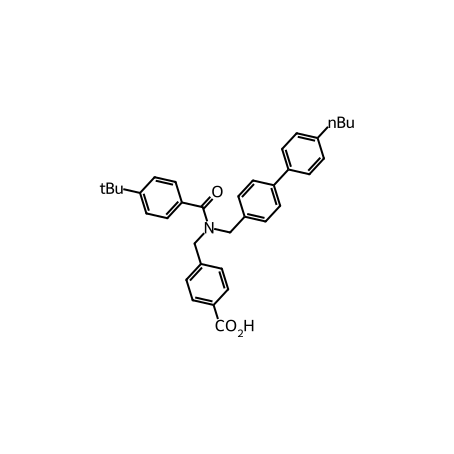 CCCCc1ccc(-c2ccc(CN(Cc3ccc(C(=O)O)cc3)C(=O)c3ccc(C(C)(C)C)cc3)cc2)cc1